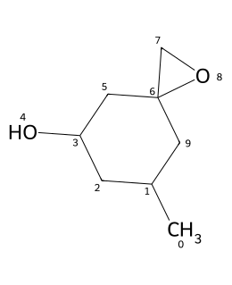 CC1CC(O)CC2(CO2)C1